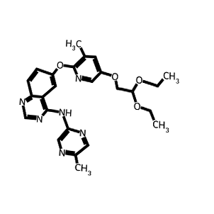 CCOC(COc1cnc(Oc2ccc3ncnc(Nc4cnc(C)cn4)c3c2)c(C)c1)OCC